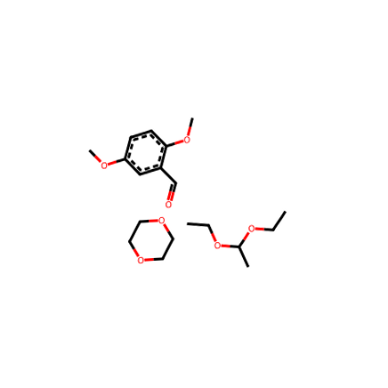 C1COCCO1.CCOC(C)OCC.COc1ccc(OC)c(C=O)c1